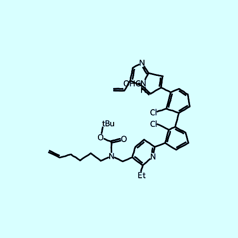 C=CCCCCN(Cc1ccc(-c2cccc(-c3cccc(C4=C/C(NC=O)=N/C=C(C=C)\C=C\4)c3Cl)c2Cl)nc1CC)C(=O)OC(C)(C)C